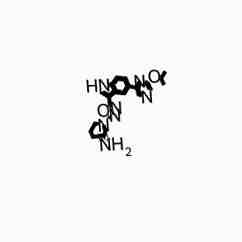 CC(C)Oc1cncc(-c2ccc3[nH]cc(-c4nnc(N5CCC[C@@H](N)C5)o4)c3c2)n1